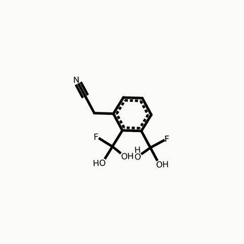 N#CCc1cccc(C(O)(O)F)c1C(O)(O)F